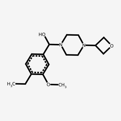 CCc1ccc(C(O)N2CCN(C3COC3)CC2)cc1OC